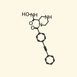 O=C(NO)C1CNCCN1C(=O)c1ccc(C#Cc2ccccc2)cc1